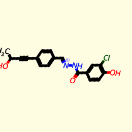 CC(O)C#Cc1ccc(/C=N/NC(=O)c2ccc(O)c(Cl)c2)cc1